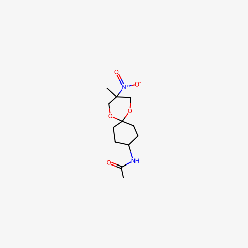 CC(=O)NC1CCC2(CC1)OCC(C)([N+](=O)[O-])CO2